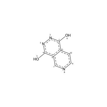 Oc1nnc(O)c2cnccc12